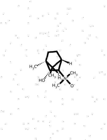 CC1(C)[C@@H]2CC[C@]1(C)[C@@H](O)C2[N+](C)(C)[O-]